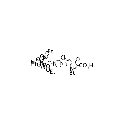 CCOOP(=O)(OOCC)C(CCN1CCN(c2cc3c(cc2Cl)c(=O)c(C(=O)O)cn3CC)CC1)P(=O)(OOCC)OOCC